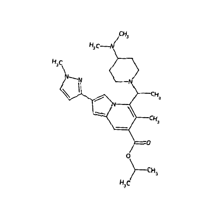 Cc1c(C(=O)OC(C)C)cc2cc(-c3ccn(C)n3)cn2c1C(C)N1CCC(N(C)C)CC1